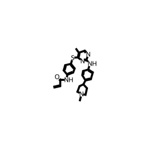 C=CC(=O)Nc1ccc(Sc2nc(Nc3ccc(C4CCN(C)CC4)cc3)ncc2C)cc1